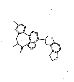 Cc1ccc2c(n1)CN(C)C(=O)c1ncn3c(N(C)Cc4c(F)ccc5c4CCO5)ncc-2c13